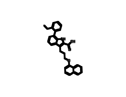 CCc1ccccc1-c1cccc2c(CCCOc3cccc4ccccc34)c(C(=O)O)[nH]c12